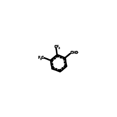 O=[C]c1cccc(C(F)(F)F)c1C(F)(F)F